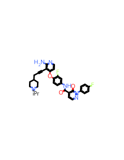 CC(C)N1CCC(CC#Cc2c(Oc3ccc(NC(=O)c4ccnn(-c5ccc(F)cc5)c4=O)cc3F)ccnc2N)CC1